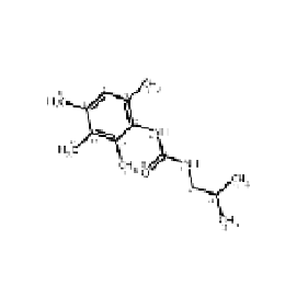 Cc1cc(C)c(NC(=O)NCC(C)C)c(C)c1C